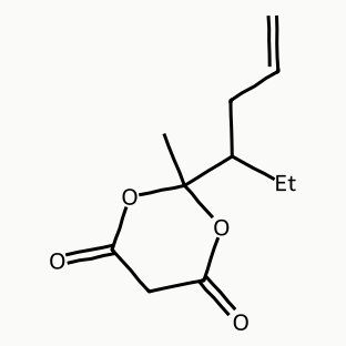 C=CCC(CC)C1(C)OC(=O)CC(=O)O1